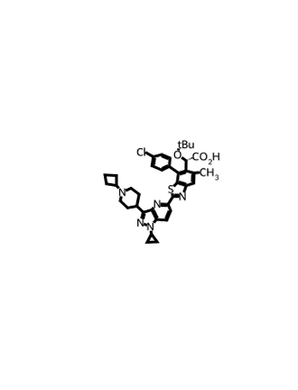 Cc1cc2nc(-c3ccc4c(n3)c(C3CCN(C5CCC5)CC3)nn4C3CC3)sc2c(-c2ccc(Cl)cc2)c1[C@H](OC(C)(C)C)C(=O)O